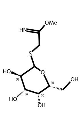 COC(=N)CSC1O[C@H](CO)[C@H](O)[C@H](O)[C@H]1O